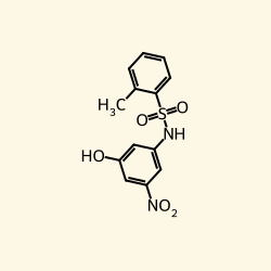 Cc1ccccc1S(=O)(=O)Nc1cc(O)cc([N+](=O)[O-])c1